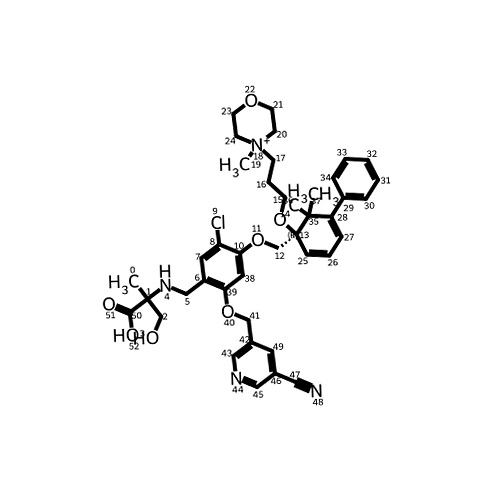 CC(CO)(NCc1cc(Cl)c(OC[C@@]2(OCCC[N+]3(C)CCOCC3)C=CC=C(c3ccccc3)C2(C)C)cc1OCc1cncc(C#N)c1)C(=O)O